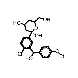 CCOc1ccc(C(O)c2cc([C@@]3(O)CC(O)CC(CO)O3)ccc2Cl)cc1